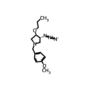 CCCO[C@@H]1CN(Cc2ccc(OC)cc2)C[C@H]1N=[N+]=[N-]